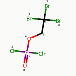 O=P(Cl)(Cl)OCC(Br)(Br)Br